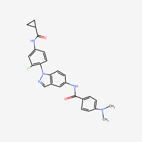 CN(C)c1ccc(C(=O)Nc2ccc3c(cnn3-c3ccc(NC(=O)C4CC4)cc3F)c2)cc1